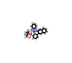 CC1(C)OB(C2=CC=CC(c3cc4ccccc4cc3N3C=NC4C=CC=CC43)C2)OC1(C)C